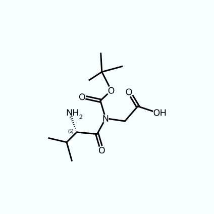 CC(C)[C@H](N)C(=O)N(CC(=O)O)C(=O)OC(C)(C)C